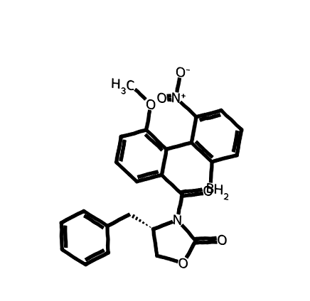 Bc1cccc([N+](=O)[O-])c1-c1c(OC)cccc1C(=O)N1C(=O)OC[C@@H]1Cc1ccccc1